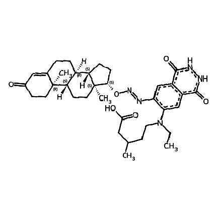 CCN(CCC(C)CC(=O)O)c1cc2c(=O)[nH][nH]c(=O)c2cc1N=NO[C@H]1CC[C@H]2[C@@H]3CCC4=CC(=O)CC[C@]4(C)[C@H]3CC[C@]12C